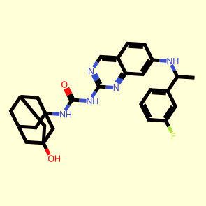 CC(Nc1ccc2cnc(NC(=O)NC34CC5CC(CC(O)(C5)C3)C4)nc2c1)c1cccc(F)c1